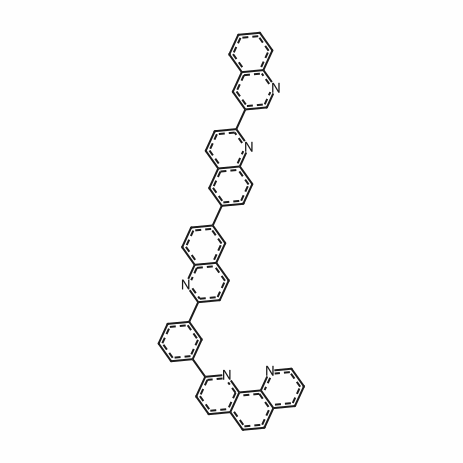 c1cc(-c2ccc3cc(-c4ccc5nc(-c6cnc7ccccc7c6)ccc5c4)ccc3n2)cc(-c2ccc3ccc4cccnc4c3n2)c1